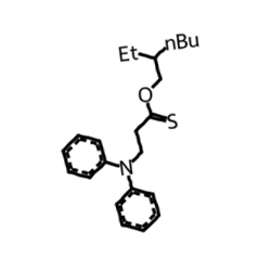 CCCCC(CC)COC(=S)CCN(c1ccccc1)c1ccccc1